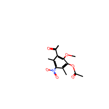 COc1c(OC(C)=O)c(C)c([N+](=O)[O-])c(C)c1C(C)=O